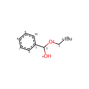 CC(C)(C)COC(O)c1ccccc1